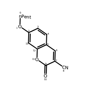 CCCCCOc1ccc2cc(C#N)c(=O)oc2c1